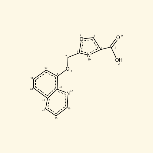 O=C(O)c1coc(COc2cccc3cccnc23)n1